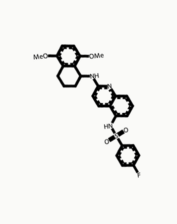 COc1ccc(OC)c2c1CCCC2Nc1ccc2c(NS(=O)(=O)c3ccc(F)cc3)cccc2n1